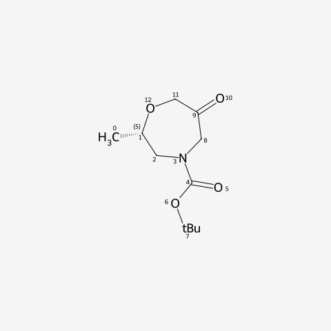 C[C@H]1CN(C(=O)OC(C)(C)C)CC(=O)CO1